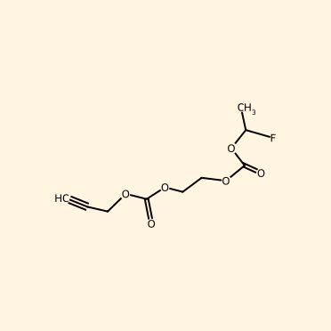 C#CCOC(=O)OCCOC(=O)OC(C)F